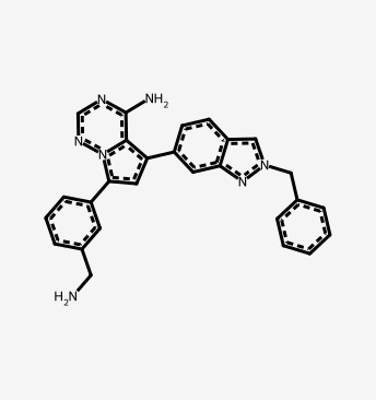 NCc1cccc(-c2cc(-c3ccc4cn(Cc5ccccc5)nc4c3)c3c(N)ncnn23)c1